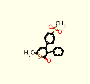 Cc1cc(-c2ccc(S(C)(=O)=O)cc2)c(-c2ccccc2)c(=O)s1